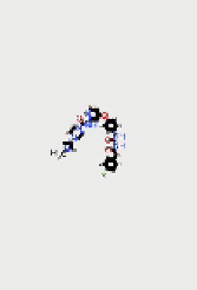 CN1CC(N2CCN(C(=O)Nc3cc(Oc4ccc(NC(=O)NC(=O)Cc5ccc(F)cc5)cc4)ccn3)CC2)C1